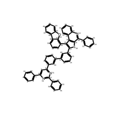 c1ccc(-c2cc(-c3cccc(-c4cccc(-c5sc6c(-c7ccccc7)nc7ccccc7c6c5-c5cccc6c5oc5ccccc56)c4)c3)nc(-c3ccccc3)n2)cc1